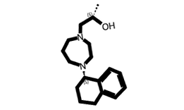 C[C@H](O)CN1CCCN([C@H]2CCCc3ccccc32)CC1